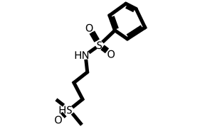 C[SH](C)(=O)CCCNS(=O)(=O)c1ccccc1